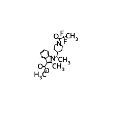 COC(=O)c1c(C)n([C@H](C)C2CCN(C(=O)C(C)(F)F)CC2)c2ccccc12